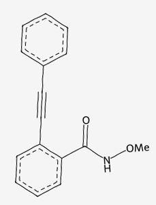 CONC(=O)c1ccccc1C#Cc1ccccc1